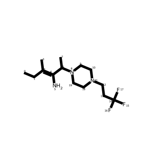 CC/C(C)=C(\N)C(C)N1CCN(CCC(F)(F)F)CC1